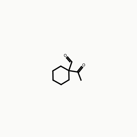 CC(=O)C1(C=O)CCCCC1